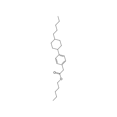 CCCCCOC(=O)Cc1ccc(C2CCC(CCCCC)CC2)cc1